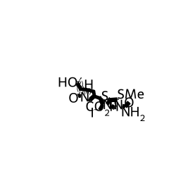 CSc1c2sc(C3=C(C(=O)O)N4C(=O)[C@H]([C@@H](C)O)[C@H]4C3)c(C)[n+]2cn1C(N)=O.[I-]